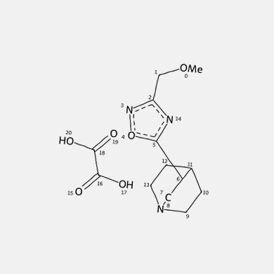 COCc1noc(C2CN3CCC2CC3)n1.O=C(O)C(=O)O